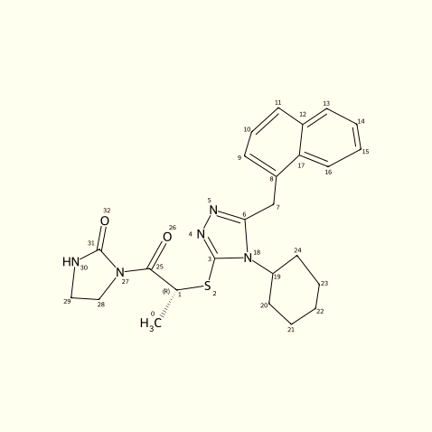 C[C@@H](Sc1nnc(Cc2cccc3ccccc23)n1C1CCCCC1)C(=O)N1CCNC1=O